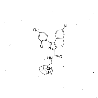 CC1(C)C2CCC(CNC(=O)c3nn(-c4ccc(Cl)cc4Cl)c4c3CCc3cc(Br)ccc3-4)C1C2